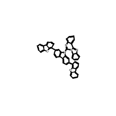 c1ccc2c(c1)nc(-n1c3cc(-c4cccc5c4oc4ccccc45)ccc3c3ccc(-c4cccc5c4oc4ccccc45)cc31)n1c3ccccc3nc21